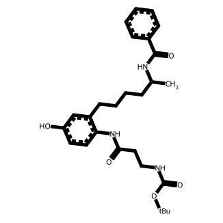 CC(CCCCc1cc(O)ccc1NC(=O)CCNC(=O)OC(C)(C)C)NC(=O)c1ccccc1